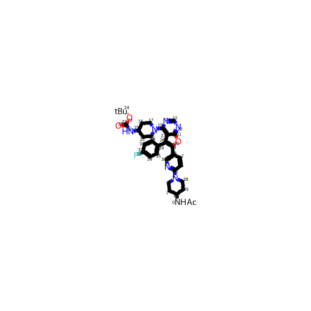 CC(=O)NC1CCN(c2ccc(-c3oc4ncnc(N5CCC(NC(=O)OC(C)(C)C)CC5)c4c3-c3ccc(F)cc3)cn2)CC1